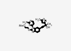 COCCOc1nc2ccc(C#C[C@@](C)(O)c3cc(C)on3)cc2n1-c1ccnc(N)n1